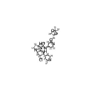 Cc1cc(-c2nc3c(cc2Cl)N2CC[C@@H](C2)N3C(=O)Nc2ccnc(OC[C@@H]3COC(C)(C)O3)c2)ccn1